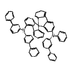 c1ccc(-c2ccc(N(c3cccc(-c4ccccc4)c3)c3cccc4c3-c3ccccc3C43c4ccccc4-c4ccc(N(c5ccccc5)c5cccc(-c6ccccc6)c5)cc43)cc2)cc1